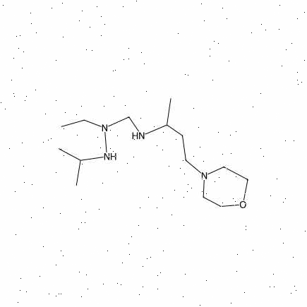 CCN(CNC(C)CCN1CCOCC1)NC(C)C